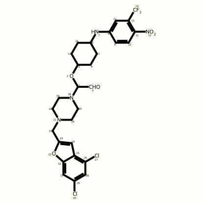 O=CC(OC1CCC(Nc2ccc([N+](=O)[O-])c(C(F)(F)F)c2)CC1)N1CCN(Cc2cc3c(Cl)cc(Cl)cc3o2)CC1